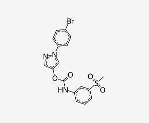 CS(=O)(=O)c1cccc(NC(=O)Oc2cnn(-c3ccc(Br)cc3)c2)c1